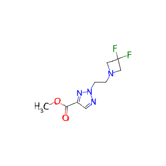 COC(=O)c1cnn(CCN2CC(F)(F)C2)n1